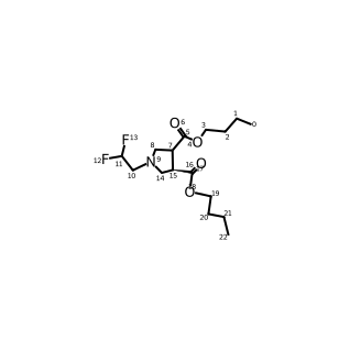 CCCCOC(=O)C1CN(CC(F)F)C[C@@H]1C(=O)OCCCC